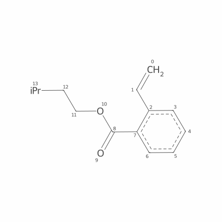 C=Cc1ccccc1C(=O)OCCC(C)C